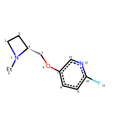 CCN1CC[C@@H]1COc1ccc(F)nc1